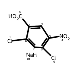 O=C(O)c1cc([N+](=O)[O-])c(Cl)cc1Cl.[NaH]